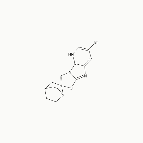 BrC1=CNN2C(=C1)N=C1O[C@@]3(CC4CCC3CC4)CN12